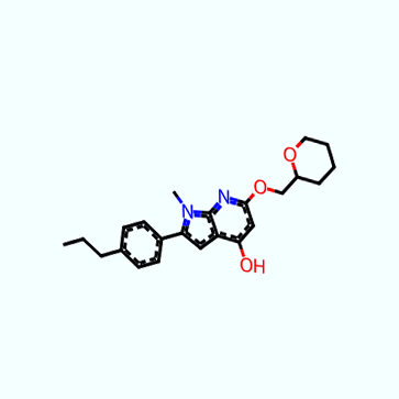 CCCc1ccc(-c2cc3c(O)cc(OCC4CCCCO4)nc3n2C)cc1